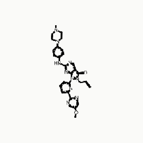 C=CCn1c(=O)c2cnc(Nc3ccc(N4CCN(C)CC4)cc3)nc2n1-c1cccc(-c2ncc(OC)cn2)n1